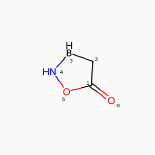 O=C1CBNO1